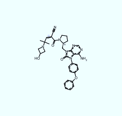 CC(C)(/C=C(/C#N)C(=O)N1CCC[C@H]1Cn1c(=O)n(-c2ccc(Oc3ccccc3)cc2)c2c(N)ncnc21)N1CC(O)C1